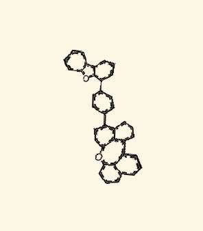 c1ccc2c(c1)oc1c(-c3ccc(-c4ccc5oc6cccc7cccc(c8cccc4c58)c76)cc3)cccc12